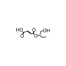 CCC(CO)OC(=O)/C=C/C(=O)O